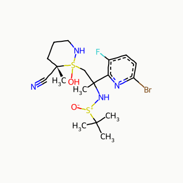 CC(CS1(O)NCCC[C@@]1(C)C#N)(N[S+]([O-])C(C)(C)C)c1nc(Br)ccc1F